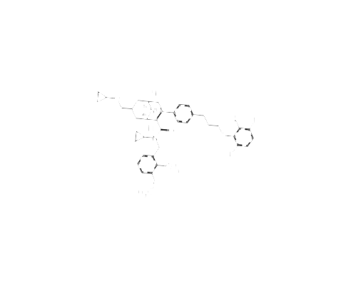 COc1cccc(CN(C(=O)C2=C(c3ccc(CCCOc4c(F)ccc(F)c4Cl)cc3)C[C@@H]3CC(COC4CC4)C[C@H]2N3)C2CC2)c1C